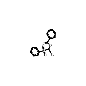 CCC(OC(=O)c1ccccc1)S(=O)(=O)c1ccccc1